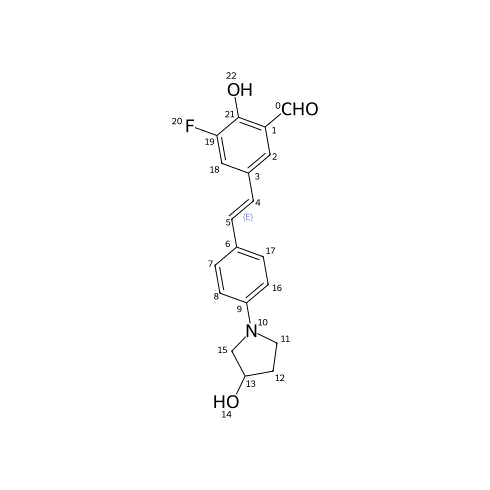 O=Cc1cc(/C=C/c2ccc(N3CCC(O)C3)cc2)cc(F)c1O